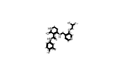 O=C1NCCC(NCc2ccncc2OCC(F)F)=C1C(=S)Nc1ccc(F)c(F)c1